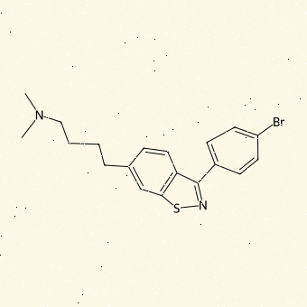 CN(C)CCCCc1ccc2c(-c3ccc(Br)cc3)nsc2c1